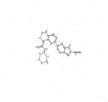 CC(=O)Nc1nc2ccc(-c3cnc4c(c3)N(C(=O)OC3CCCOC3)CCO4)cc2s1